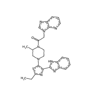 CCc1nc(-c2nc3ccccc3[nH]2)c(N2CCN(C(=O)Cn3cnc4cccnc43)C(C)C2)s1